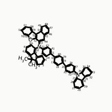 CC1(C)c2ccccc2-c2c(N(c3ccc(-c4ccc(-c5ccc(-n6c7ccccc7c7ccccc76)cc5)cc4)cc3)c3cc4ccccc4c4c3oc3ccccc34)cccc21